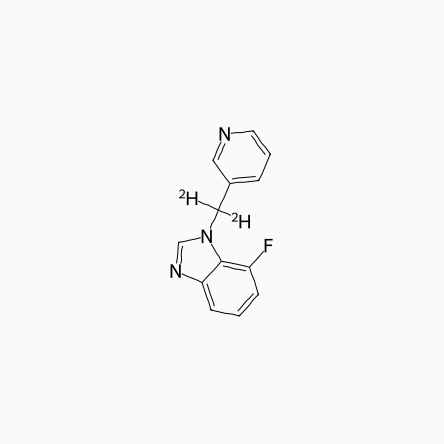 [2H]C([2H])(c1cccnc1)n1cnc2cccc(F)c21